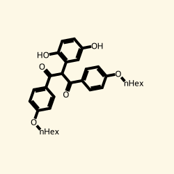 CCCCCCOc1ccc(C(=O)C(C(=O)c2ccc(OCCCCCC)cc2)c2cc(O)ccc2O)cc1